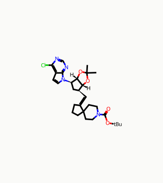 CC(C)(C)OC(=O)N1CCC2(CCC/C2=C\[C@H]2C[C@@H](n3ccc4c(Cl)ncnc43)[C@@H]3OC(C)(C)O[C@@H]32)CC1